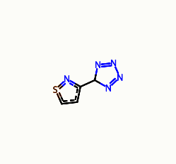 c1cc(C2N=NN=N2)ns1